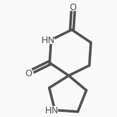 O=C1CCC2(CCNC2)C(=O)N1